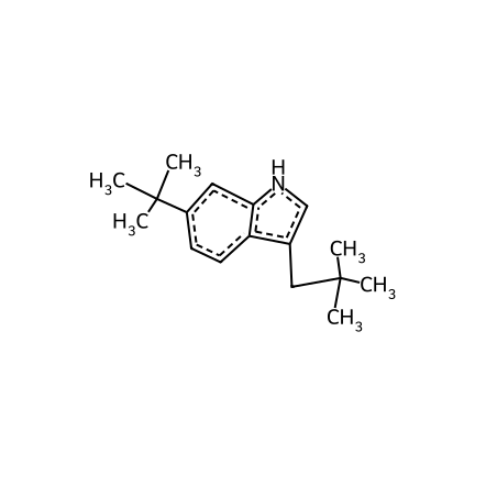 CC(C)(C)Cc1c[nH]c2cc(C(C)(C)C)ccc12